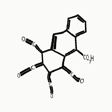 O=C=c1c(=C=O)c(=C=O)c2c(C(=O)O)c3ccccc3cc2c1=C=O